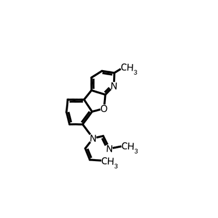 C/C=C\N(/C=N/C)c1cccc2c1oc1nc(C)ccc12